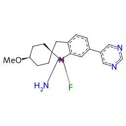 CO[C@H]1CC[C@@]2(CC1)Cc1ccc(-c3cncnc3)cc1C21C=C(F)C(N)=N1